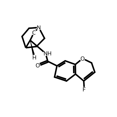 O=C(N[C@H]1CN2CCC1CC2)c1ccc2c(c1)OCC=C2F